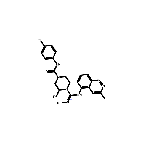 Cc1cc2c(N/C(=N/C#N)N3CCN(C(=O)Nc4ccc(Cl)cc4)CC3C(C)C)cccc2nn1